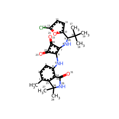 Cc1ccc(Nc2c(N[C@@H](c3ccc(Cl)o3)C(C)(C)C)c(=O)c2=O)c2c1C(C)(C)NC2=O